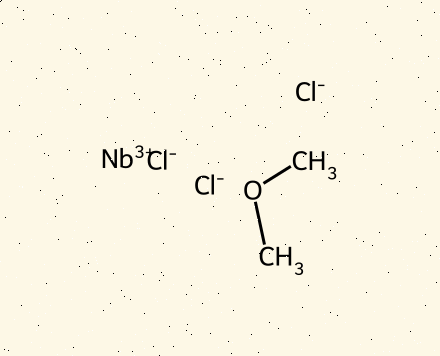 COC.[Cl-].[Cl-].[Cl-].[Nb+3]